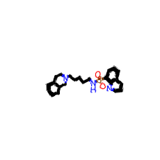 O=S(=O)(NCCCCCN1CCc2ccccc2C1)c1cccc2cccnc12